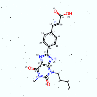 CCCCn1c(=O)n(C)c(=O)c2nc(-c3ccc(/C=C/C(=O)O)cc3)[nH]c21